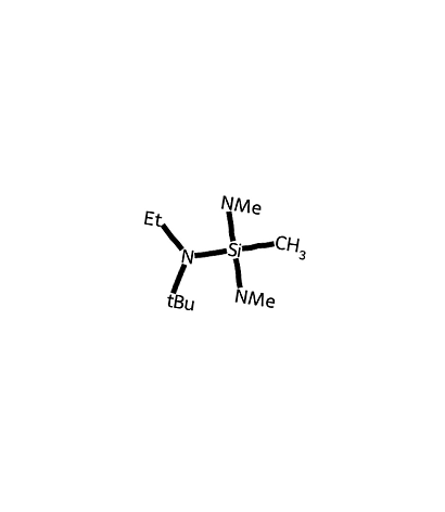 CCN(C(C)(C)C)[Si](C)(NC)NC